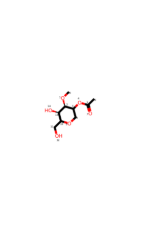 CO[C@H]1C(OC(C)=O)COC(CO)[C@H]1O